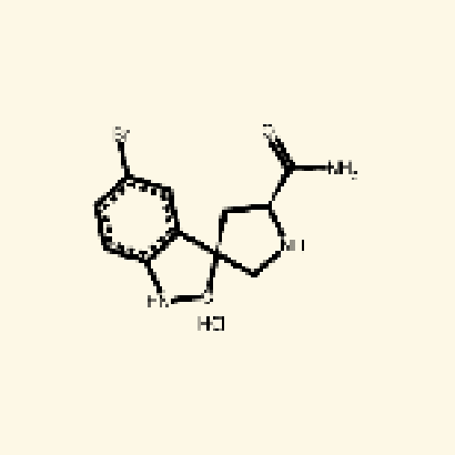 Cl.NC(=O)[C@@H]1C[C@@]2(CN1)ONc1ccc(Br)cc12